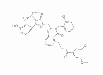 COCCN(CCOC)C(=O)CCCc1cccc2nc(Cn3nc(-c4cccc(O)c4)c4c(N)ncnc43)n(Cc3ccccc3Cl)c(=O)c12